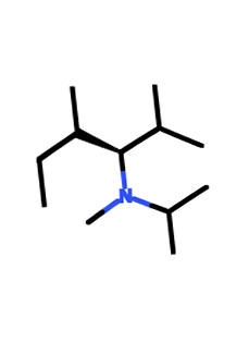 CCC(C)[C@@H](C(C)C)N(C)C(C)C